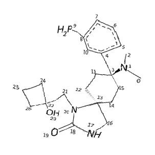 CN(C)[C@]1(c2cccc(P)c2)CC[C@]2(CC1)CNC(=O)N2CC1(O)CCC1